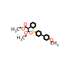 CCOC(=O)C(C(=O)OCC)c1ccccc1Sc1ccc(-c2ccc(OC)cc2)cc1